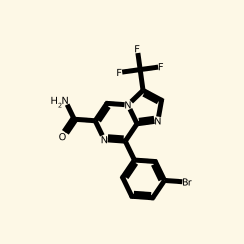 NC(=O)c1cn2c(C(F)(F)F)cnc2c(-c2cccc(Br)c2)n1